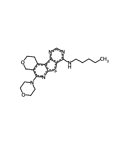 CCCCCNc1ncnc2c1sc1nc(N3CCOCC3)c3c(c12)CCOC3